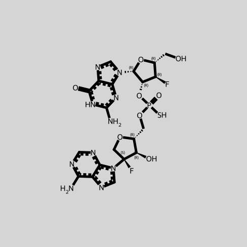 Nc1nc2c(ncn2[C@@H]2O[C@H](CO)[C@@H](F)[C@@H]2OP(=O)(S)OC[C@H]2OC[C@@](F)(n3cnc4c(N)ncnc43)[C@@H]2O)c(=O)[nH]1